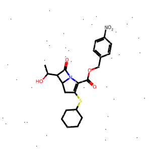 CC(O)C1C(=O)N2C(C(=O)OCc3ccc([N+](=O)[O-])cc3)=C(SC3CCCCC3)CC12